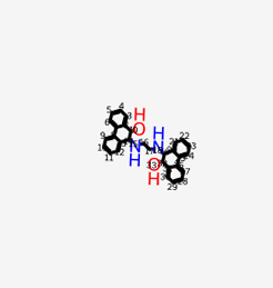 OC1c2ccccc2-c2ccccc2C1NCCNC1c2ccccc2-c2ccccc2C1O